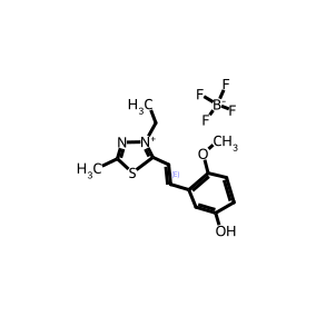 CC[n+]1nc(C)sc1/C=C/c1cc(O)ccc1OC.F[B-](F)(F)F